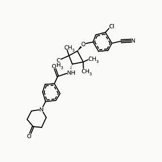 CC1(C)[C@H](NC(=O)c2ccc(N3CCC(=O)CC3)cc2)C(C)(C)[C@H]1Oc1ccc(C#N)c(Cl)c1